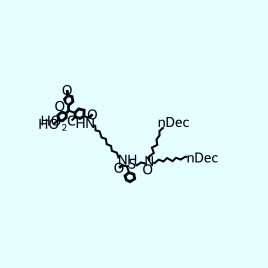 CCCCCCCCCCCCCCCCCCN(CCCCCCCCCCCCCCCCCC)C(=O)CCSC(C(=O)NCCCCCCCCCCNC(=O)c1ccc(-c2c3ccc(=O)cc-3oc3cc(O)ccc23)c(C(=O)O)c1)c1ccccc1